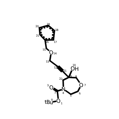 CC(C)(C)OC(=O)N1CCOCC(O)(C#CCOCc2ccccc2)C1